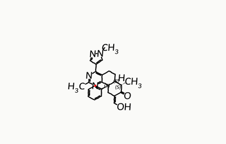 Cc1nc(-c2cnn(C)c2)c2c(n1)[C@@]1(c3ccccc3)CC(=CO)C(=O)[C@@H](C)[C@@H]1CC2